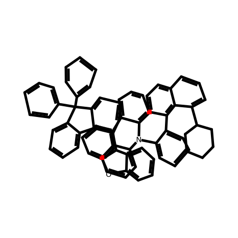 c1ccc(C2(c3ccccc3)c3ccccc3-c3c(-c4ccccc4N(c4ccccc4-c4cccc5cccc(C6CCCCC6)c45)c4ccccc4-c4cccc5oc6ccccc6c45)cccc32)cc1